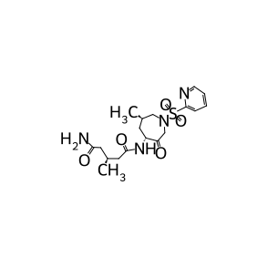 C[C@@H]1C[C@@H](NC(=O)C[C@@H](C)CC(N)=O)C(=O)CN(S(=O)(=O)c2ccccn2)C1